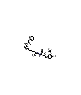 N/C(=C\C=C(/N)NC(=O)Cc1ccc(O)c(OC(F)(F)F)c1)CCCCc1nnc(NC(=O)Cc2ccccn2)s1